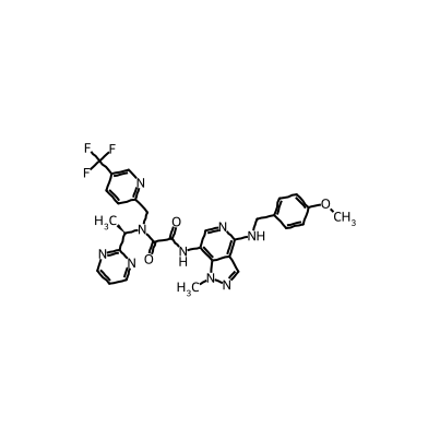 COc1ccc(CNc2ncc(NC(=O)C(=O)N(Cc3ccc(C(F)(F)F)cn3)[C@H](C)c3ncccn3)c3c2cnn3C)cc1